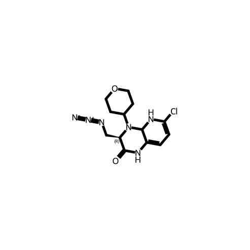 [N-]=[N+]=NC[C@@H]1C(=O)NC2=CC=C(Cl)NC2N1C1CCOCC1